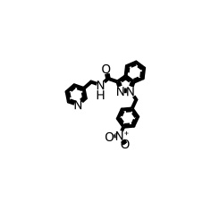 O=C(NCc1cccnc1)c1nn(Cc2ccc([N+](=O)[O-])cc2)c2ccccc12